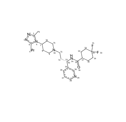 Cc1nnc(C(C)C)n1C1CCN(CC[C@H](NC(=O)C2CCC(F)(F)CC2)c2cccnc2)CC1